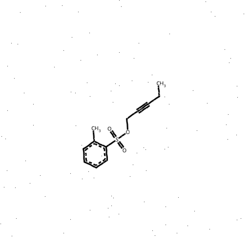 CCC#CCOS(=O)(=O)c1ccccc1C